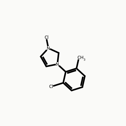 Cc1cccc(Cl)c1N1C=CN(Cl)C1